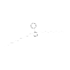 CCCCCCCCCCCn1cc[n+](CCCCCCCCCC)c1-c1ccccc1